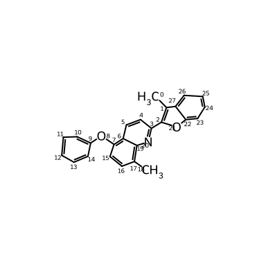 Cc1c(-c2ccc3c(Oc4ccccc4)ccc(C)c3n2)oc2ccccc12